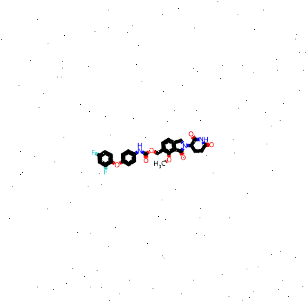 COc1c(COC(=O)Nc2ccc(Oc3ccc(F)cc3F)cc2)ccc2c1C(=O)N(C1CCC(=O)NC1=O)C2